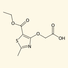 CCOC(=O)c1sc(C)nc1OCC(=O)O